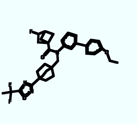 CCOc1ccc(-c2cccc(N(CC34CCC(c5noc(C(C)(F)F)n5)(CC3)CC4)C(=O)C34CC(F)C(C3)C4)c2)cc1